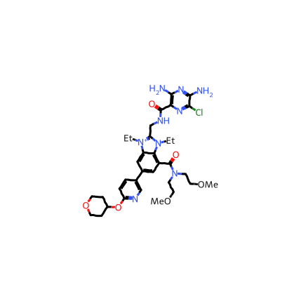 CCn1c(CNC(=O)c2nc(Cl)c(N)nc2N)[n+](CC)c2cc(-c3ccc(OC4CCOCC4)nc3)cc(C(=O)N(CCOC)CCOC)c21